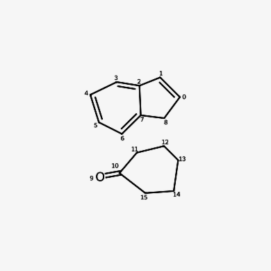 C1=Cc2ccccc2C1.O=C1CCCCC1